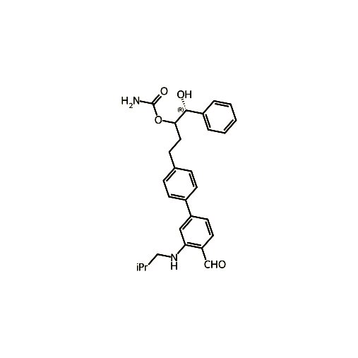 CC(C)CNc1cc(-c2ccc(CCC(OC(N)=O)[C@H](O)c3ccccc3)cc2)ccc1C=O